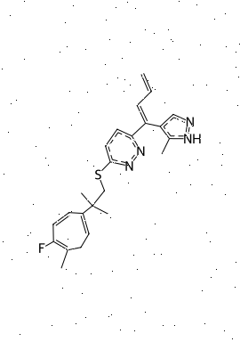 C=C/C=C(/c1ccc(SCC(C)(C)C2=CCC(C)=C(F)C=C2)nn1)c1cn[nH]c1C